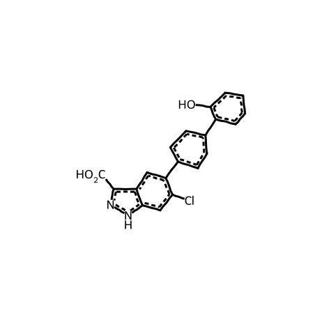 O=C(O)c1n[nH]c2cc(Cl)c(-c3ccc(-c4ccccc4O)cc3)cc12